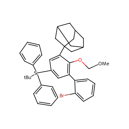 COCOc1c(-c2ccccc2Br)cc([Si](c2ccccc2)(c2ccccc2)C(C)(C)C)cc1C12CC3CC(CC(C3)C1)C2